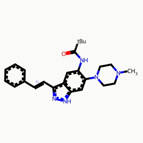 CN1CCN(c2cc3[nH]nc(/C=C/c4ccccc4)c3cc2NC(=O)C(C)(C)C)CC1